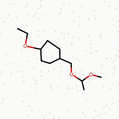 CCOC1CCC(COC(C)OC)CC1